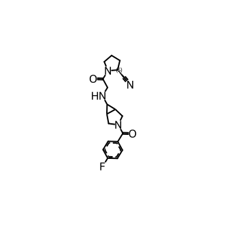 N#C[C@@H]1CCCN1C(=O)CNC1C2CN(C(=O)c3ccc(F)cc3)CC21